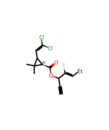 C#CC(OC(=O)[C@@H]1C(C=C(Cl)Cl)C1(C)C)C(F)=CCC